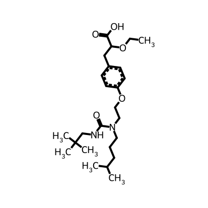 CCOC(Cc1ccc(OCCN(CCCC(C)C)C(=O)NCC(C)(C)C)cc1)C(=O)O